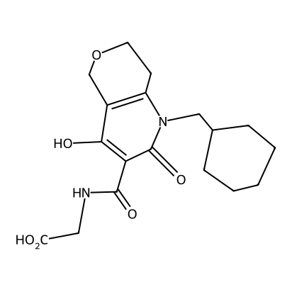 O=C(O)CNC(=O)c1c(O)c2c(n(CC3CCCCC3)c1=O)CCOC2